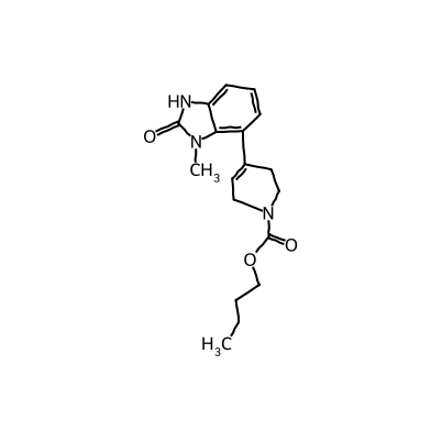 CCCCOC(=O)N1CC=C(c2cccc3[nH]c(=O)n(C)c23)CC1